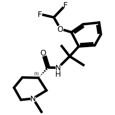 CN1CCC[C@H](C(=O)NC(C)(C)c2ccccc2OC(F)F)C1